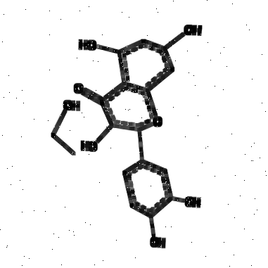 CCO.O=c1c(O)c(-c2ccc(O)c(O)c2)oc2cc(O)cc(O)c12